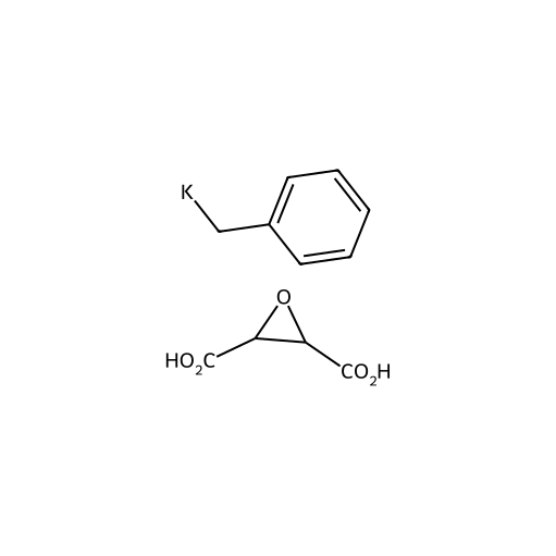 O=C(O)C1OC1C(=O)O.[K][CH2]c1ccccc1